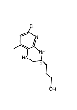 Cc1cc(Cl)nc2c1NC[C@H](CCCO)N2